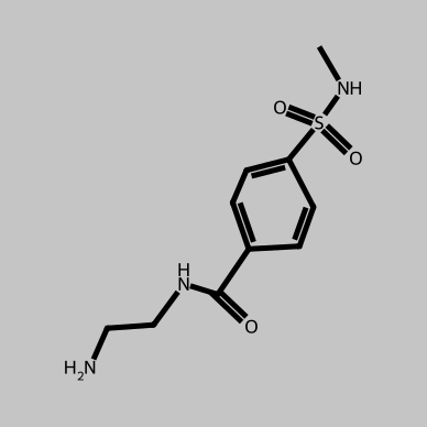 CNS(=O)(=O)c1ccc(C(=O)NCCN)cc1